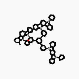 CC1CC=Cc2c1n(-c1ccccc1)c1c2ccc2c3ccccc3n(-c3cccc(-c4cc(-c5cccc(-n6c7ccccc7c7cc8c(cc76)c6ccccc6n8-c6ccccc6)c5)cc(-c5cccc(-n6c7ccccc7c7ccc8c(c9ccccc9n8-c8ccccc8)c76)c5)c4)c3)c21